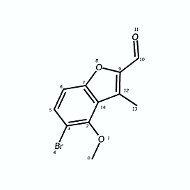 COc1c(Br)ccc2oc(C=O)c(C)c12